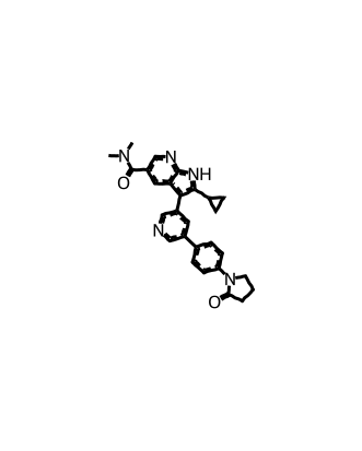 CN(C)C(=O)c1cnc2[nH]c(C3CC3)c(-c3cncc(-c4ccc(N5CCCC5=O)cc4)c3)c2c1